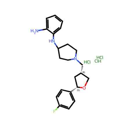 Cl.Cl.Cl.Nc1ccccc1NC1CCN(C[C@@H]2CO[C@H](c3ccc(F)cc3)C2)CC1